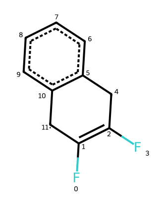 FC1=C(F)Cc2ccccc2[CH]1